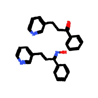 O=C(CCc1cccnc1)c1ccccc1.ON=C(CCc1cccnc1)c1ccccc1